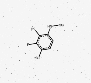 CC(C)(C)Nc1ccc(C(C)(C)C)c(F)c1S